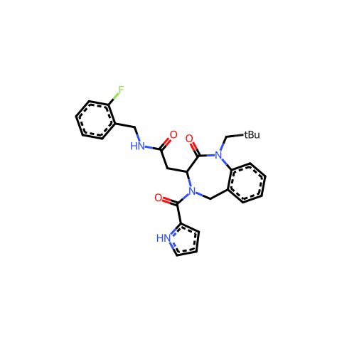 CC(C)(C)CN1C(=O)C(CC(=O)NCc2ccccc2F)N(C(=O)c2ccc[nH]2)Cc2ccccc21